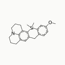 COc1ccc2c(c1)[Si](C)(C)c1c(cc3c4c1CCCN4CCC3)C2